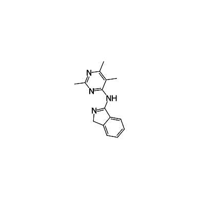 Cc1nc(C)c(C)c(NC2=NCc3ccccc32)n1